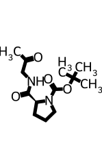 CC(=O)CNC(=O)[C@@H]1CCCN1C(=O)OC(C)(C)C